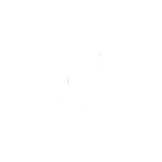 [CH2]COCCC(Cl)(Cl)Cl